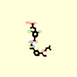 CCC(OCCC(C)C)c1cccc(-c2csc(NC(=O)c3cc(Cl)c(C=C(C)C(=O)O)c(Cl)c3)n2)c1F